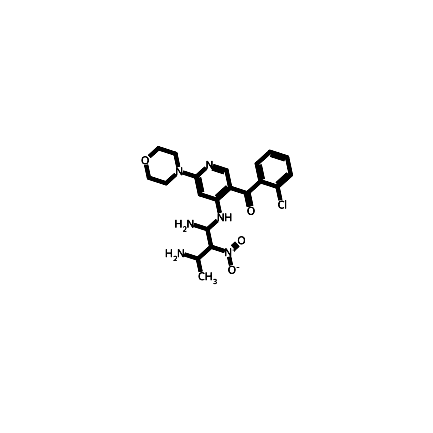 CC(N)C(C(N)Nc1cc(N2CCOCC2)ncc1C(=O)c1ccccc1Cl)[N+](=O)[O-]